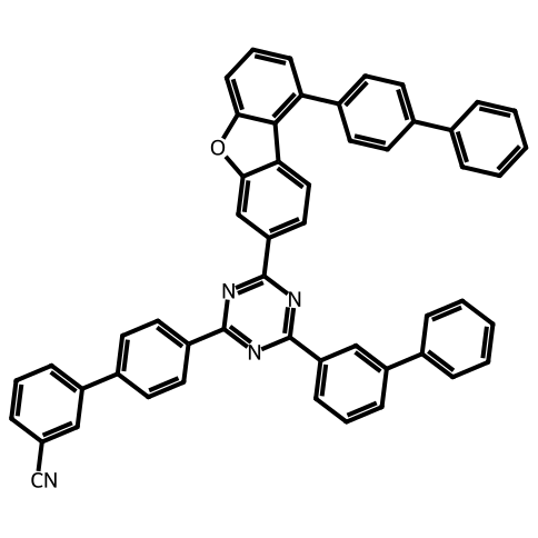 N#Cc1cccc(-c2ccc(-c3nc(-c4cccc(-c5ccccc5)c4)nc(-c4ccc5c(c4)oc4cccc(-c6ccc(-c7ccccc7)cc6)c45)n3)cc2)c1